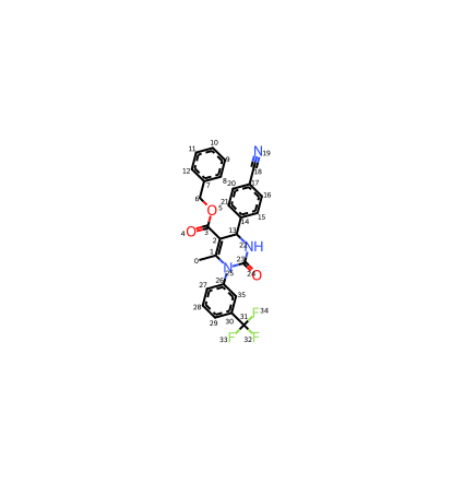 CC1=C(C(=O)OCc2ccccc2)C(c2ccc(C#N)cc2)NC(=O)N1c1cccc(C(F)(F)F)c1